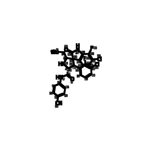 CC(C)(C)C[C@@H]1N[C@@H](C(=O)Nc2ccc(C#N)cc2)[C@H](c2cccc(Cl)c2F)[C@]12C(=O)Nc1c2ccc(Cl)c1F